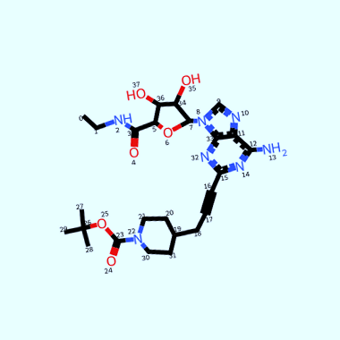 CCNC(=O)C1OC(n2cnc3c(N)nc(C#CCC4CCN(C(=O)OC(C)(C)C)CC4)nc32)C(O)C1O